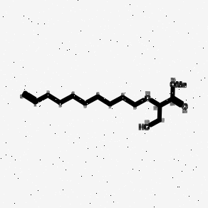 C=CCCCCCCCCOC(CO)C(=O)OC